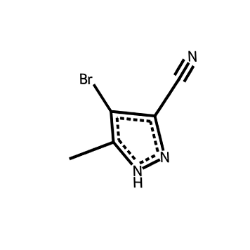 Cc1[nH]nc(C#N)c1Br